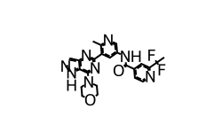 Cc1ncc(NC(=O)c2ccnc(C(C)(F)F)c2)cc1-c1nc(N2CCOCC2)c2[nH]ncc2n1